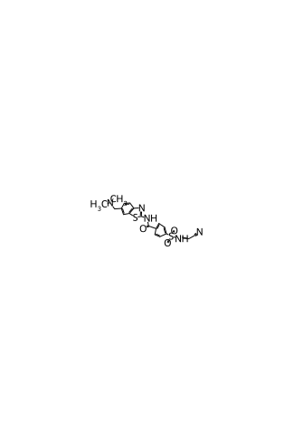 CN(C)Cc1ccc2nc(NC(=O)c3ccc(S(=O)(=O)NCCC#N)cc3)sc2c1